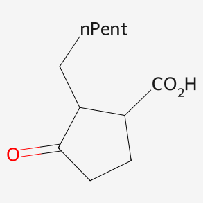 CCCCCCC1C(=O)CCC1C(=O)O